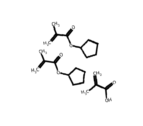 C=C(C)C(=O)O.C=C(C)C(=O)OC1CCCC1.C=C(C)C(=O)OC1CCCC1